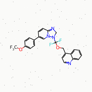 FC(F)(F)Oc1ccc(C2=CN3C(=NCN3C(F)(F)OCc3ccnc4ccccc34)C=C2)cc1